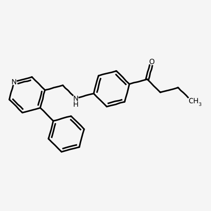 CCCC(=O)c1ccc(NCc2cnccc2-c2ccccc2)cc1